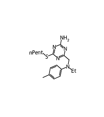 CCCCCSc1nc(N)nc(CN(CC)c2ccc(C)cc2)n1